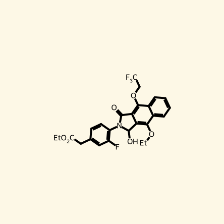 CCOC(=O)Cc1ccc(N2C(=O)c3c(c(OCC)c4ccccc4c3OCC(F)(F)F)C2O)c(F)c1